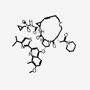 COc1ccc2c(O[C@@H]3C[C@H]4C(=O)N[C@]5(C(=O)NS(=O)(=O)C6CC6)CC5/C=C\CCCCC[C@H](CC(=O)N5CCCCC5)C(=O)N4C3)cc(-c3nc(C(C)C)cs3)nc2c1C